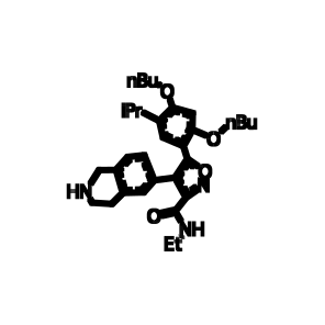 CCCCOc1cc(OCCCC)c(C(C)C)cc1-c1onc(C(=O)NCC)c1-c1ccc2c(c1)CCNC2